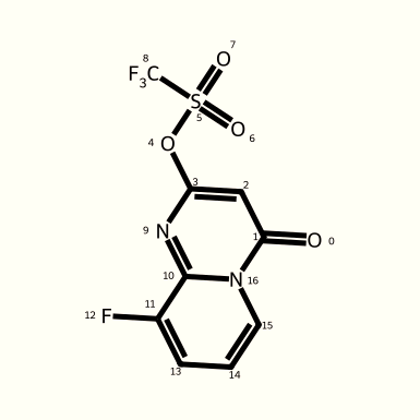 O=c1cc(OS(=O)(=O)C(F)(F)F)nc2c(F)cccn12